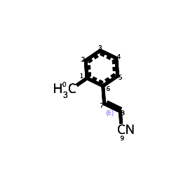 Cc1ccccc1/C=C/C#N